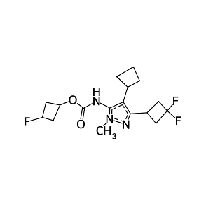 Cn1nc(C2CC(F)(F)C2)c(C2CCC2)c1NC(=O)OC1CC(F)C1